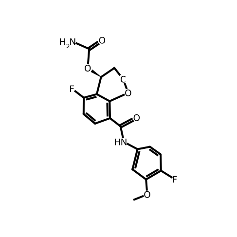 COc1cc(NC(=O)c2ccc(F)c3c2OCC[C@@H]3OC(N)=O)ccc1F